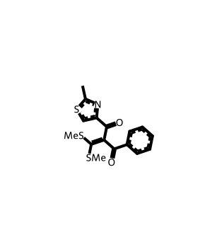 CSC(SC)=C(C(=O)c1ccccc1)C(=O)c1csc(C)n1